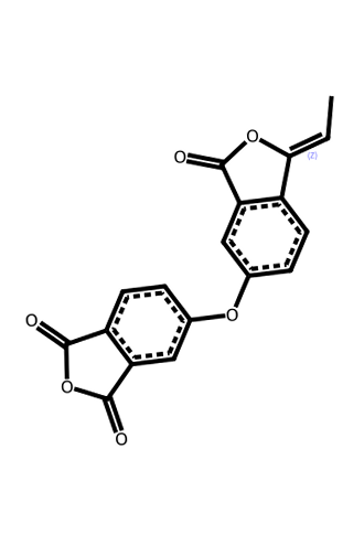 C/C=C1\OC(=O)c2cc(Oc3ccc4c(c3)C(=O)OC4=O)ccc21